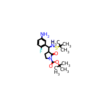 CC(C)(C)OC(=O)N1CCC(C(NSC(C)(C)C)c2cc(N)ccc2F)C1=O